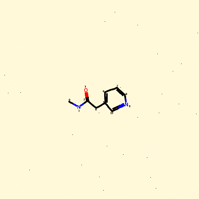 C[N]C(=O)Cc1cccnc1